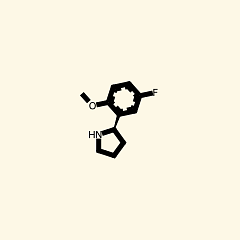 COc1ccc(F)cc1[C@H]1CCCN1